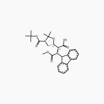 COC(=O)N(C1c2ccccc2-c2ccccc21)[C@H](C(=O)O)[C@@H]1CN(C(=O)OC(C)(C)C)C(C)(C)O1